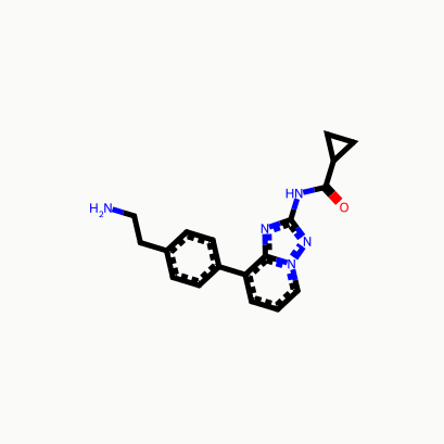 NCCc1ccc(-c2cccn3nc(NC(=O)C4CC4)nc23)cc1